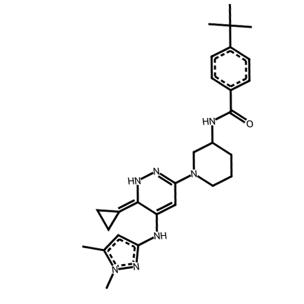 Cc1cc(NC2=CC(N3CCCC(NC(=O)c4ccc(C(C)(C)C)cc4)C3)=NNC2=C2CC2)nn1C